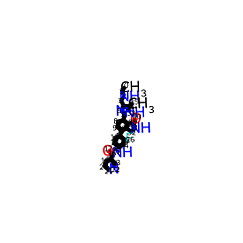 CCNCc1nc(-c2ccc(-c3ccc(NC(=O)c4cccnc4)cc3F)c3c2C(=O)NC3)[nH]c1C